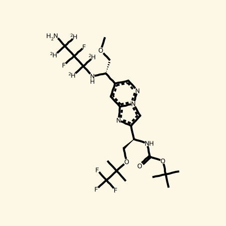 [2H]C([2H])(N)C(F)(F)C([2H])([2H])N[C@H](COC)c1cnn2cc([C@H](COC(C)(C)C(F)(F)F)NC(=O)OC(C)(C)C)nc2c1